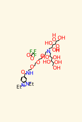 CCn1c[n+](CC)c2cc(C(=O)NCCOCCOCCOCCN(C[C@H](O)[C@@H](O)[C@H](O)[C@H](O)CO)C[C@H](O)[C@@H](O)[C@H](O)[C@H](O)CO)ccc21.O=C([O-])C(F)(F)F